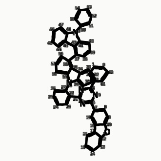 c1ccc(-c2nc(-c3ccc4oc5ccccc5c4c3)nc(-c3ccccc3-n3c4ccccc4c4c(-c5cccc6c5c5ccccc5n6-c5ccccc5)cccc43)n2)cc1